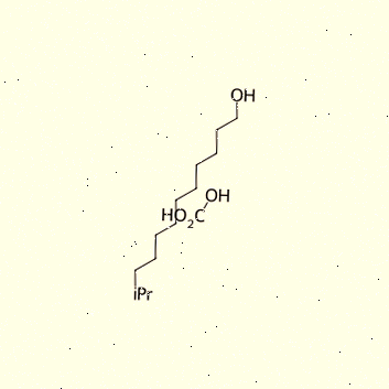 CC(C)CCCCCCCCCCO.O=C(O)O